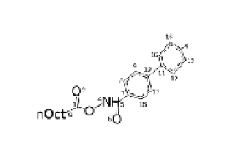 CCCCCCCCC(=O)ONC(=O)c1ccc(-c2ccccc2)cc1